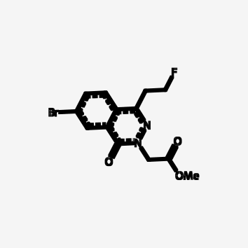 COC(=O)Cn1nc(CCF)c2ccc(Br)cc2c1=O